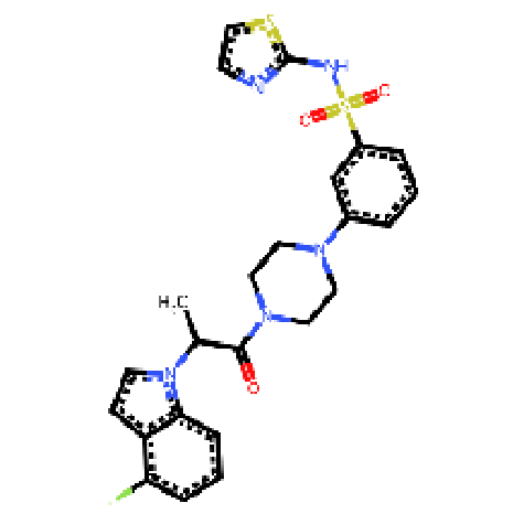 CC(C(=O)N1CCN(c2cccc(S(=O)(=O)Nc3nccs3)c2)CC1)n1ccc2c(F)cccc21